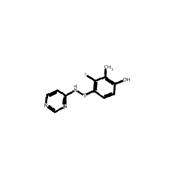 Cc1c(O)ccc(SNc2ccncn2)c1F